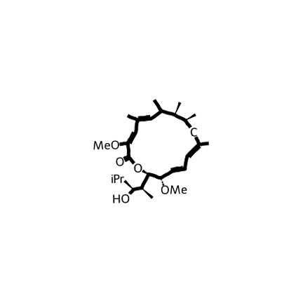 CO/C1=C\C(C)=C\C(C)[C@@H](C)[C@@H](C)C/C(C)=C/C=C/[C@H](OC)[C@@H]([C@@H](C)[C@@H](O)C(C)C)OC1=O